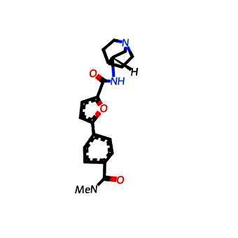 CNC(=O)c1ccc(-c2ccc(C(=O)N[C@H]3CN4CCC3CC4)o2)cc1